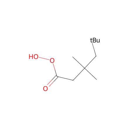 CC(C)(C)CC(C)(C)CC(=O)OO